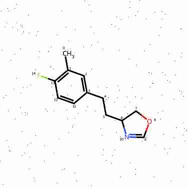 Cc1cc(CCC2CO[C]=N2)ccc1F